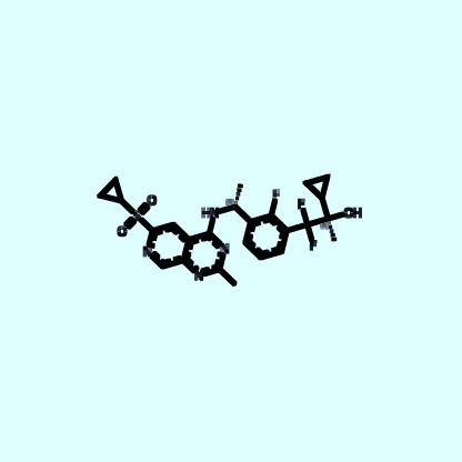 Cc1nc(N[C@H](C)c2cccc(C(F)(F)[C@](C)(O)C3CC3)c2F)c2cc(S(=O)(=O)C3CC3)ncc2n1